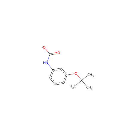 CC(C)(C)Oc1cccc(NC([O])=O)c1